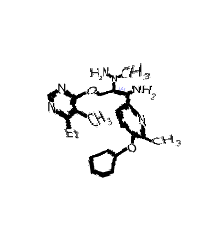 CCc1ncnc(OC/C(=C(/N)c2ccc(OC3CCCCC3)c(C)n2)N(C)N)c1C